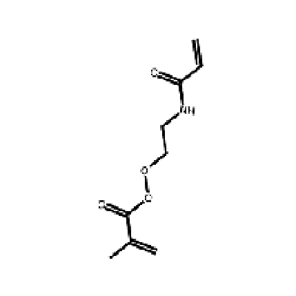 C=CC(=O)NCCOOC(=O)C(=C)C